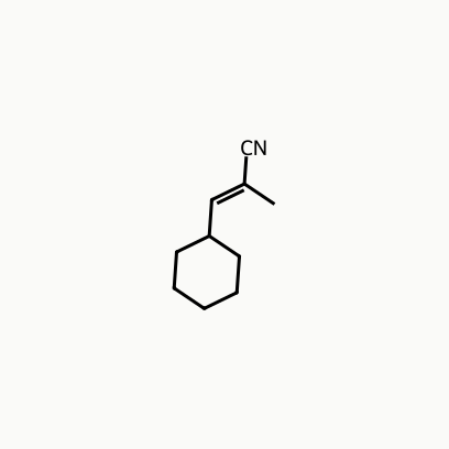 CC(C#N)=CC1CCCCC1